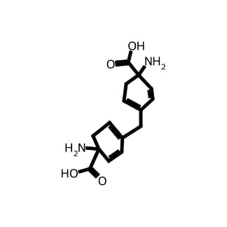 NC1(C(=O)O)C=CC(CC2=CCC(N)(C(=O)O)C=C2)=CC1